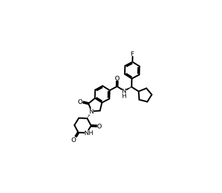 O=C1CC[C@H](N2Cc3cc(C(=O)N[C@@H](c4ccc(F)cc4)C4CCCC4)ccc3C2=O)C(=O)N1